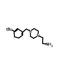 CC(C)(C)C1=CC(CN2CCN(CCN)CC2)=CCC1